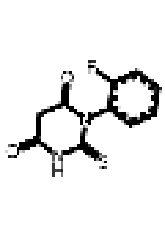 O=C1CC(=O)N(c2ccccc2F)C(=S)N1